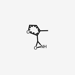 Cc1ccoc1C1NO1